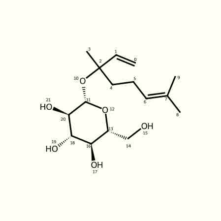 C=CC(C)(CCC=C(C)C)O[C@@H]1O[C@H](CO)[C@@H](O)[C@H](O)[C@H]1O